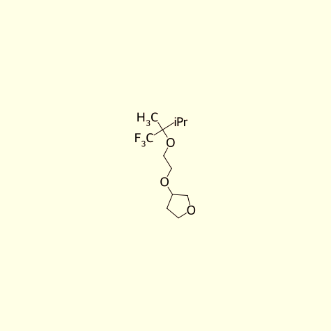 CC(C)C(C)(OCCOC1CCOC1)C(F)(F)F